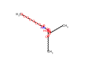 CCCCCCCCCCCCCC(=O)OC[C@H](COP(=O)(O)OCCNC(=O)OCCOCCOCCOCCOCCOCCOCCOC)OC(=O)CCCCCCCCCCCCC